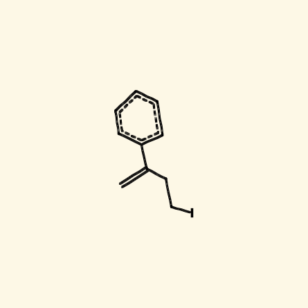 C=C(CCI)c1ccccc1